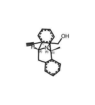 C#CC[N@@+]1(CCO)[C@@H]2Cc3ccccc3[C@@]1(C)c1ccccc12